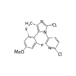 COc1cc(F)c(-c2c(C)nc(Cl)n2-c2ccc(Cl)nc2)c(F)c1